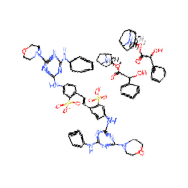 C[N+]1(C)C2CCC1CC(OC(=O)C(O)c1ccccc1)C2.C[N+]1(C)C2CCC1CC(OC(=O)C(O)c1ccccc1)C2.O=S(=O)([O-])c1cc(Nc2nc(Nc3ccccc3)nc(N3CCOCC3)n2)ccc1C=Cc1ccc(Nc2nc(Nc3ccccc3)nc(N3CCOCC3)n2)cc1S(=O)(=O)[O-]